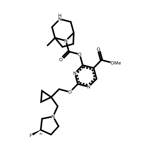 COC(=O)c1cnc(OCC2(CN3CC[C@@H](F)C3)CC2)nc1OC(=O)N1C2CCC1(C)CNC2